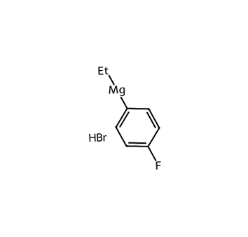 Br.C[CH2][Mg][c]1ccc(F)cc1